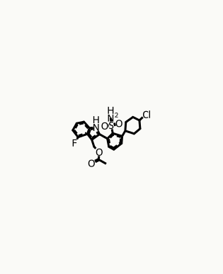 CC(=O)OCc1c(-c2cccc(C3CCC(Cl)CC3)c2S(N)(=O)=O)[nH]c2cccc(F)c12